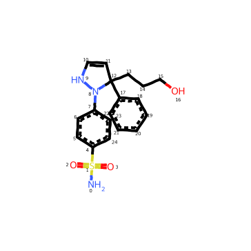 NS(=O)(=O)c1ccc(N2NC=CC2(CCCO)c2ccccc2)cc1